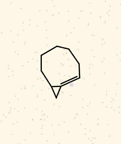 C1=C2/CC2CCCCC/1